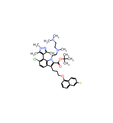 Cc1nn(C)c(C)c1-c1c(Cl)ccc2c(CCCOc3cccc4cc(F)ccc34)c(C(=O)OC(C)(C)C)n(CCN(C)CCN(C)C)c12